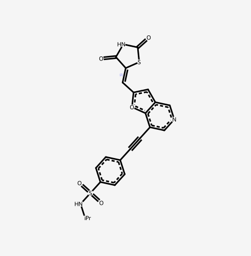 CC(C)NS(=O)(=O)c1ccc(C#Cc2cncc3cc(/C=C4\SC(=O)NC4=O)oc23)cc1